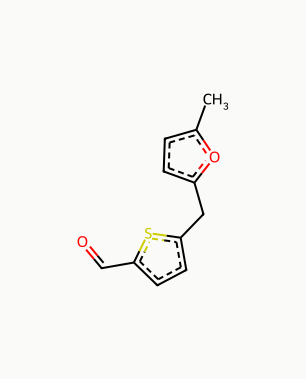 Cc1ccc(Cc2ccc(C=O)s2)o1